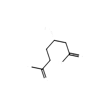 O=C(Cl)CC[C@@H](CC(=O)Cl)C(F)(F)F